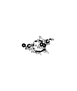 C/C1=C/C=C/C(C)[C@H](O)CC(O)C[C@H](ON2CCC(N(C)c3ccccc3)CC2)CC/C=C/OC2(C)Oc3c(C)c(O)c4c(c3C2O)C2=NC3(CCN(CC(C)C)CC3)NC2=C(NC1=O)C4=O